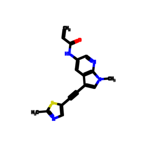 C=CC(=O)Nc1cnc2c(c1)c(C#Cc1cnc(C)s1)cn2C